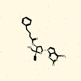 C#C[C@]1(CO)O[C@@H](n2ccc3c(N)nc(Cl)nc32)C[C@@H]1OC(=O)CCCc1ccccc1